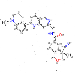 CN1CCCc2c(-c3ccc4cnc(CNC(=O)c5ccc6c(c5)[C@](C)(C#N)COC6)cc4n3)cccc21